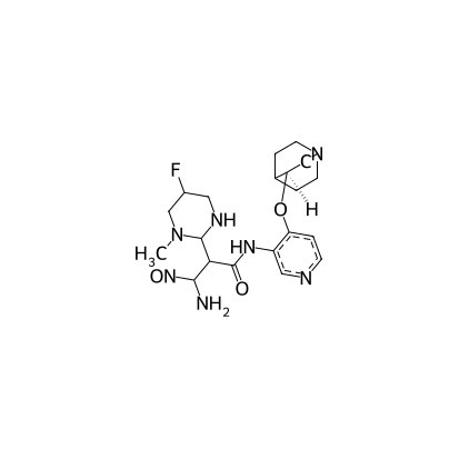 CN1CC(F)CNC1C(C(=O)Nc1cnccc1O[C@@H]1CN2CCC1CC2)C(N)N=O